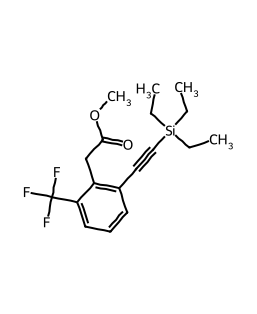 CC[Si](C#Cc1cccc(C(F)(F)F)c1CC(=O)OC)(CC)CC